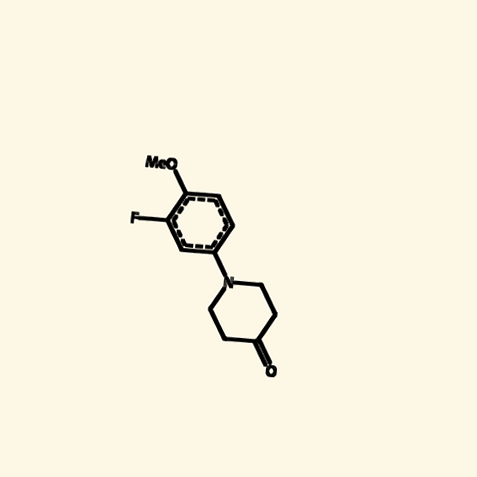 COc1ccc(N2CCC(=O)CC2)cc1F